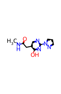 CNC(=O)Cc1cnc(-n2cccn2)nc1O